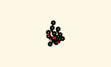 c1ccc(-c2ccc(N(c3ccccc3)c3cc(-c4cc5c6ccccc6n(-c6ccccc6)c5c5sc6ccccc6c45)cc(N(c4ccccc4)c4cccc5c4-c4ccccc4C54c5ccccc5-c5ccccc54)c3)cc2)cc1